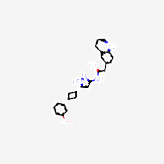 O=C(Cc1ccc2ncccc2c1)Nc1cc([C@H]2C[C@@H](c3cccc(O)c3)C2)[nH]n1